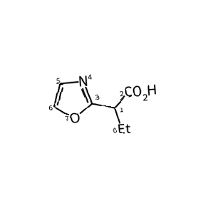 CCC(C(=O)O)c1ncco1